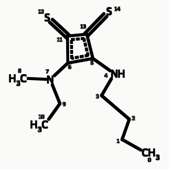 CCCCNc1c(N(C)CC)c(=S)c1=S